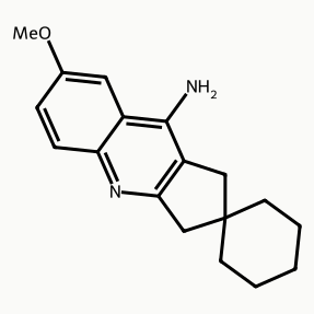 COc1ccc2nc3c(c(N)c2c1)CC1(CCCCC1)C3